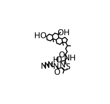 CC1=C(C(=O)NCN=[N+]=[N-])N2C(=O)C(NC(=O)CCC(C)C3CCC4C5C(O)CC6CC(O)CCC6(C)C5CCC34C)C2SC1